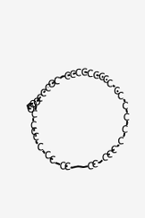 C1CCCCCCCCCCCCCCCCCCCCCCOCCCOC2(CCCCCCCCCCCCCCCCCCCCCC1)OCCCO2